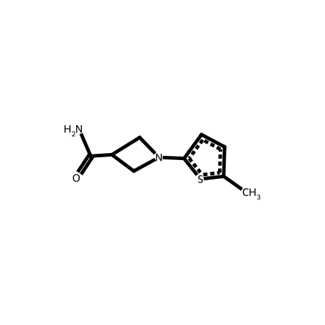 Cc1ccc(N2CC(C(N)=O)C2)s1